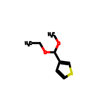 CCOC(OC)c1ccsc1